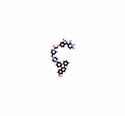 Cn1nc(C2CCC(=O)NC2=O)c2ccc(OCC(=O)N3CCC(CN4CCN(c5ccc([C@@H]6c7ccc(O)cc7CC[C@@H]6c6ccccc6)cc5)CC4)CC3)cc21